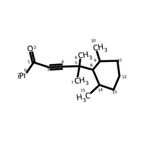 CC(C)C(=O)C#CC(C)(C)C1C(C)CCCC1C